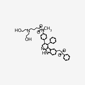 CN(c1ccc(-c2cnc3[nH]c4ccc(CS(=O)(=O)c5ccccc5)cc4c3c2-c2ccccc2)cc1)S(=O)(=O)CCCN(CCO)CCO